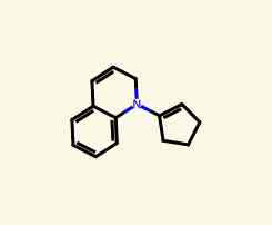 C1=Cc2ccccc2N(C2=CCCC2)C1